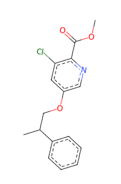 COC(=O)c1ncc(OCC(C)c2ccccc2)cc1Cl